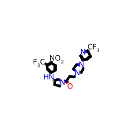 O=C(CCN1CCN(c2ccc(C(F)(F)F)nc2)CC1)N1CC[C@@H](Nc2ccc([N+](=O)[O-])c(C(F)(F)F)c2)C1